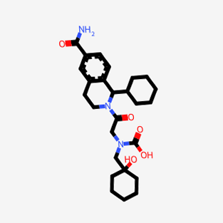 NC(=O)c1ccc2c(c1)CCN(C(=O)CN(CC1(O)CCCCC1)C(=O)O)C2C1CCCCC1